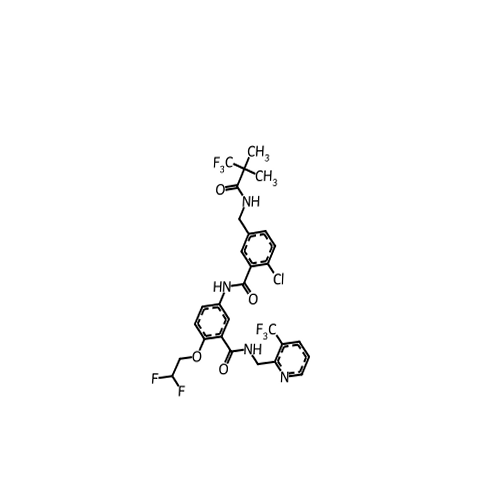 CC(C)(C(=O)NCc1ccc(Cl)c(C(=O)Nc2ccc(OCC(F)F)c(C(=O)NCc3ncccc3C(F)(F)F)c2)c1)C(F)(F)F